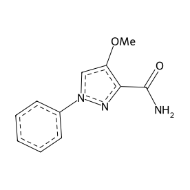 COc1cn(-c2ccccc2)nc1C(N)=O